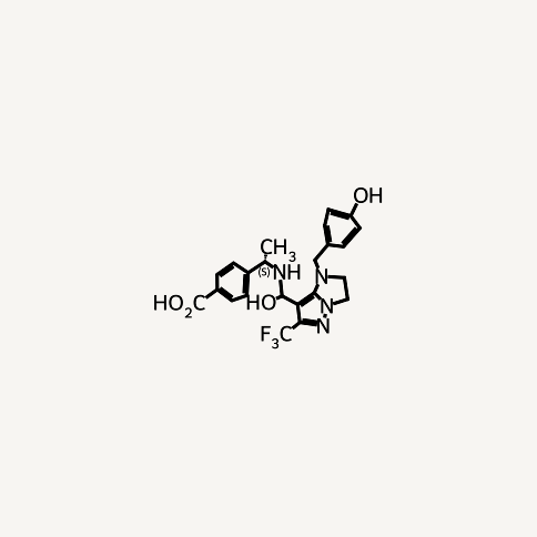 C[C@H](NC(O)c1c(C(F)(F)F)nn2c1N(Cc1ccc(O)cc1)CC2)c1ccc(C(=O)O)cc1